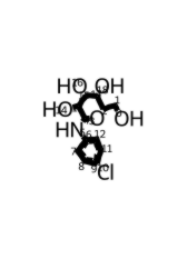 OCC1OC(Nc2ccc(Cl)cc2)C(O)C(O)C1O